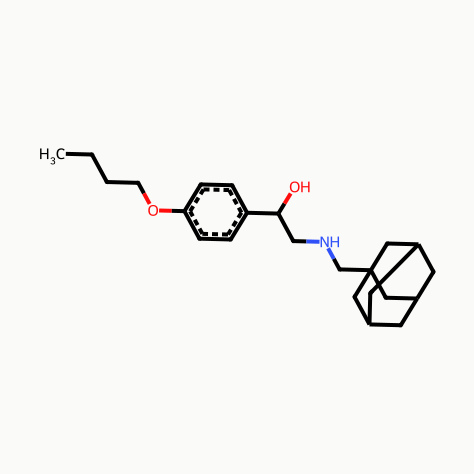 CCCCOc1ccc(C(O)CNCC23CC4CC(CC(C4)C2)C3)cc1